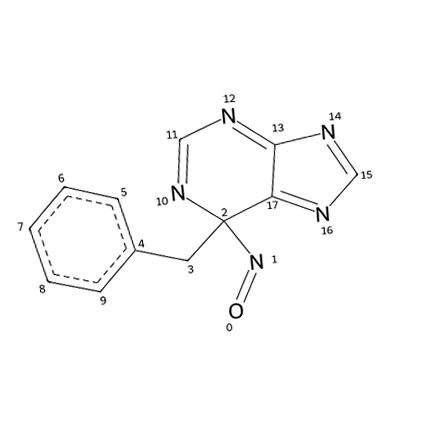 O=NC1(Cc2ccccc2)N=CN=C2N=CN=C21